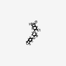 CCc1cc2c(nc1N1CCC(Oc3ccc4c(c3)COC4)=C(F)C1)CNC2=O